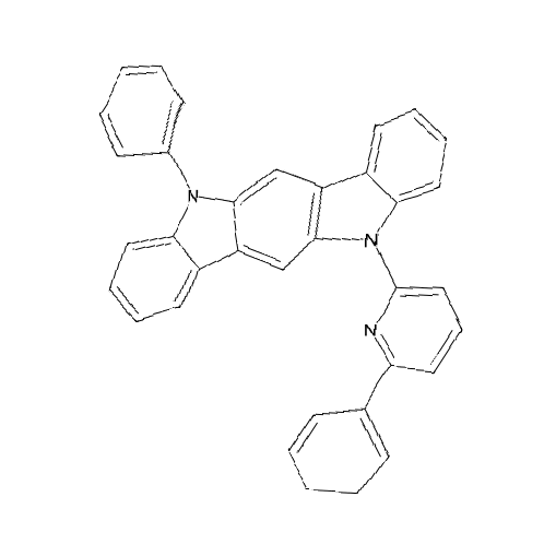 C1=CC(c2cccc(-n3c4ccccc4c4cc5c(cc43)c3ccccc3n5-c3ccccc3)n2)=CCC1